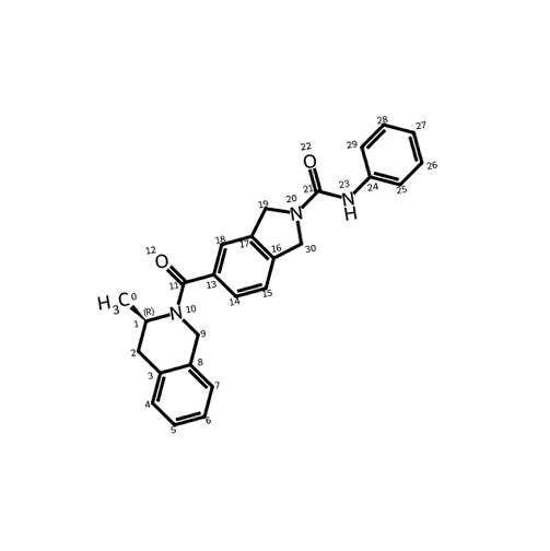 C[C@@H]1Cc2ccccc2CN1C(=O)c1ccc2c(c1)CN(C(=O)Nc1ccccc1)C2